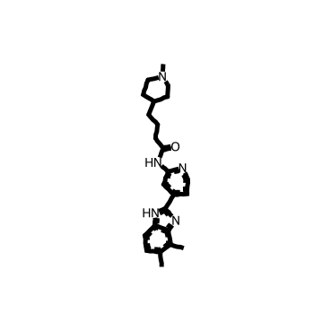 Cc1ccc2[nH]c(-c3ccnc(NC(=O)CCCC4CCN(C)CC4)c3)nc2c1C